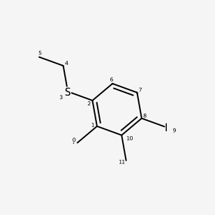 [CH2]c1c(SCC)ccc(I)c1C